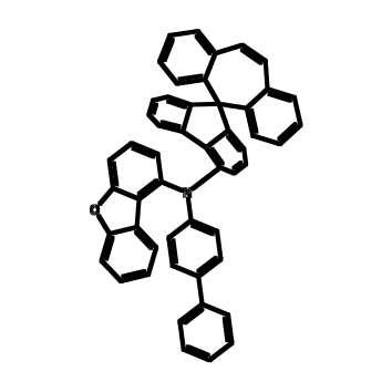 C1=Cc2ccccc2C2(c3ccccc31)c1ccccc1-c1c(N(c3ccc(-c4ccccc4)cc3)c3cccc4oc5ccccc5c34)cccc12